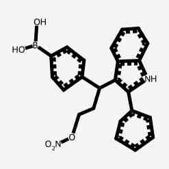 O=[N+]([O-])OCCC(c1ccc(B(O)O)cc1)c1c(-c2ccccc2)[nH]c2ccccc12